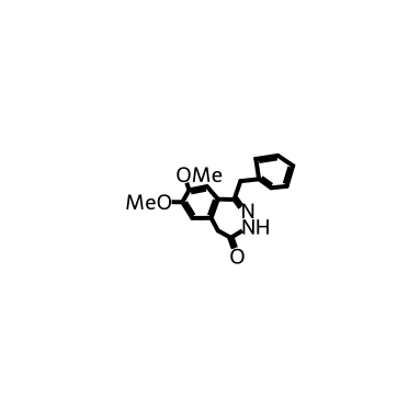 COc1cc2c(cc1OC)C(Cc1ccccc1)=NNC(=O)C2